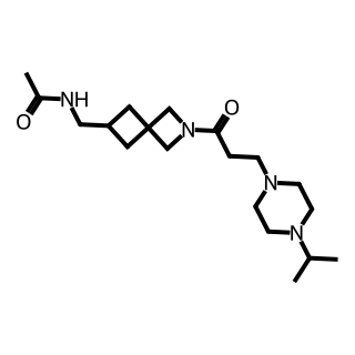 CC(=O)NCC1CC2(C1)CN(C(=O)CCN1CCN(C(C)C)CC1)C2